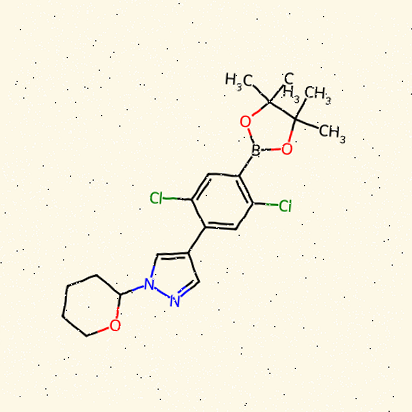 CC1(C)OB(c2cc(Cl)c(-c3cnn(C4CCCCO4)c3)cc2Cl)OC1(C)C